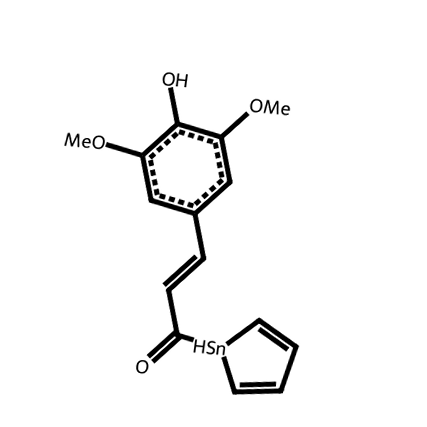 COc1cc(/C=C/[C](=O)[SnH]2[CH]=CC=[CH]2)cc(OC)c1O